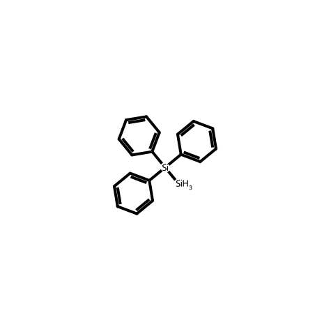 [SiH3][Si](c1ccccc1)(c1ccccc1)c1ccccc1